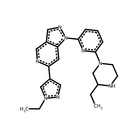 CCC1CN(c2cccc(-n3ncc4cnc(-c5cnn(CC)c5)cc43)n2)CCN1